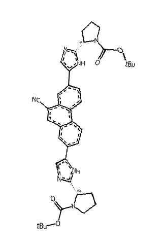 CC(C)(C)OC(=O)N1CCC[C@H]1c1ncc(-c2ccc3c(c2)cc(C#N)c2cc(-c4cnc([C@@H]5CCCN5C(=O)OC(C)(C)C)[nH]4)ccc23)[nH]1